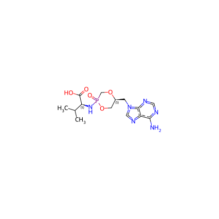 CC(C)[C@H](NP1(=O)CO[C@@H](Cn2cnc3c(N)ncnc32)CO1)C(=O)O